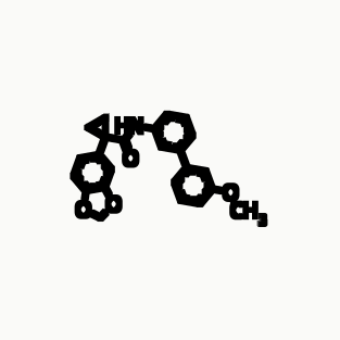 COc1cccc(-c2cccc(NC(=O)C3(c4ccc5c(c4)OCO5)CC3)c2)c1